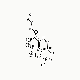 CCCCOC(=O)c1ccc(I)c(CC(C)C)c1C(=O)O